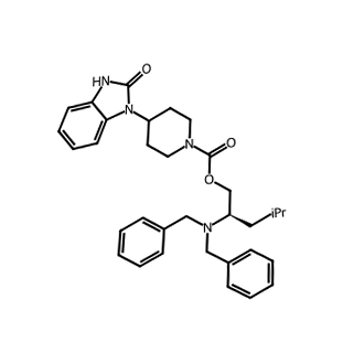 CC(C)C[C@H](COC(=O)N1CCC(n2c(=O)[nH]c3ccccc32)CC1)N(Cc1ccccc1)Cc1ccccc1